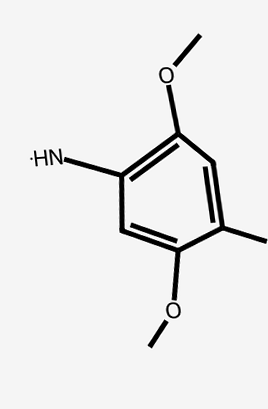 COc1cc(Cl)c(OC)cc1[NH]